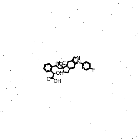 CC12Cc3cnn(-c4ccc(F)cc4)c3C=C1CCC2(O)CCc1ccccc1C(O)C(=O)O